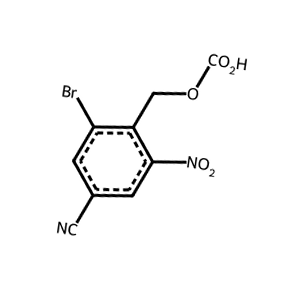 N#Cc1cc(Br)c(COC(=O)O)c([N+](=O)[O-])c1